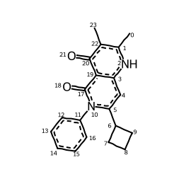 Cc1[nH]c2cc(C3CCC3)n(-c3ccccc3)c(=O)c2c(=O)c1C